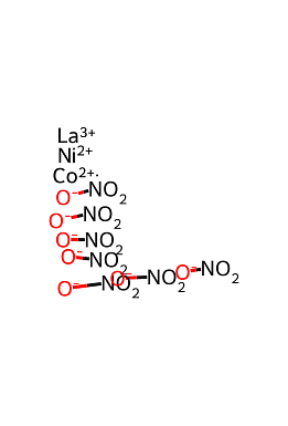 O=[N+]([O-])[O-].O=[N+]([O-])[O-].O=[N+]([O-])[O-].O=[N+]([O-])[O-].O=[N+]([O-])[O-].O=[N+]([O-])[O-].O=[N+]([O-])[O-].[Co+2].[La+3].[Ni+2]